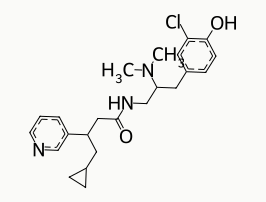 CN(C)C(CNC(=O)CC(CC1CC1)c1cccnc1)Cc1ccc(O)c(Cl)c1